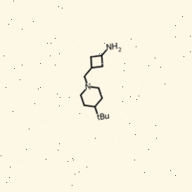 CC(C)(C)C1CCN(CC2CC(N)C2)CC1